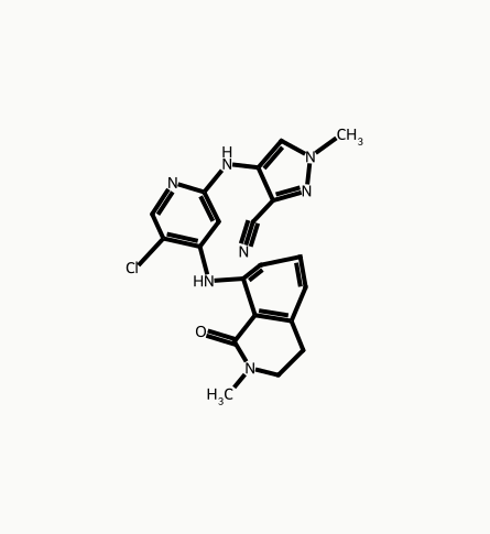 CN1CCc2cccc(Nc3cc(Nc4cn(C)nc4C#N)ncc3Cl)c2C1=O